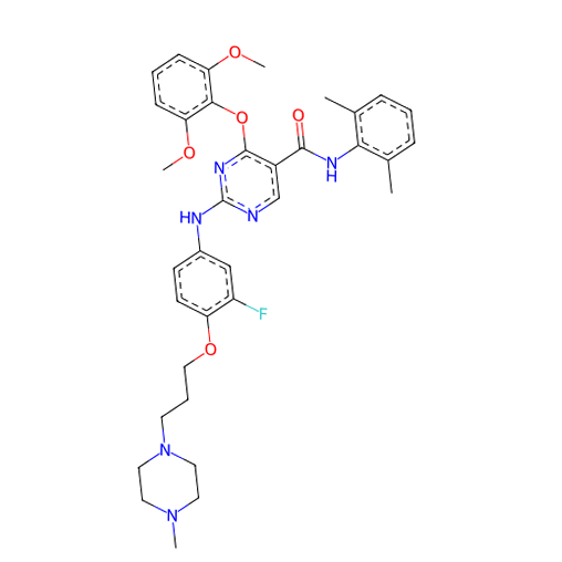 COc1cccc(OC)c1Oc1nc(Nc2ccc(OCCCN3CCN(C)CC3)c(F)c2)ncc1C(=O)Nc1c(C)cccc1C